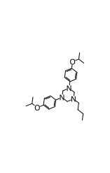 CCCCN1CN(c2ccc(OC(C)C)cc2)CN(c2ccc(OC(C)C)cc2)C1